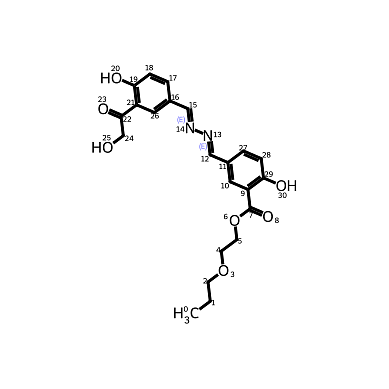 CCCOCCOC(=O)c1cc(/C=N/N=C/c2ccc(O)c(C(=O)CO)c2)ccc1O